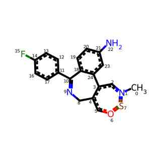 Cn1cc2c(cos1)CN=C(c1ccc(F)cc1)c1ccc(N)cc1-2